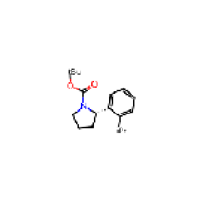 CC(C)c1ccccc1[C@@H]1CCCN1C(=O)OC(C)(C)C